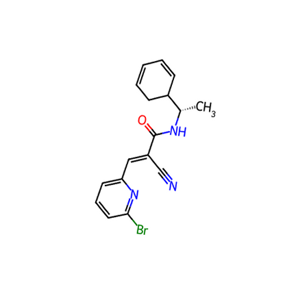 C[C@H](NC(=O)/C(C#N)=C/c1cccc(Br)n1)C1C=CC=CC1